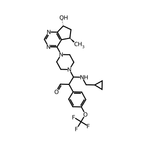 C[C@@H]1C[C@@H](O)c2ncnc(N3CCN(C(NCC4CC4)C(C=O)c4ccc(OC(F)(F)F)cc4)CC3)c21